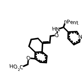 CCCCCC(NOCC=C1CCCc2c(OCC(=O)O)cccc21)c1cccnc1